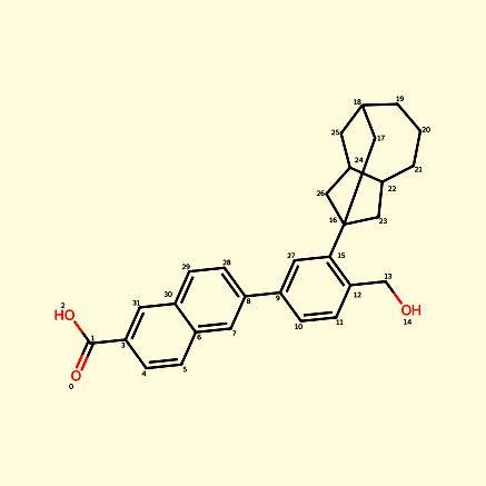 O=C(O)c1ccc2cc(-c3ccc(CO)c(C45CC6CCCC(C4)C(C6)C5)c3)ccc2c1